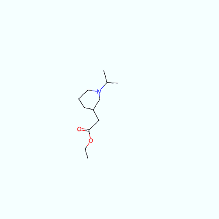 CCOC(=O)CC1CCCN(C(C)C)C1